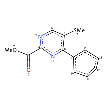 COC(=O)c1ncc(SC)c(-c2ccccc2)n1